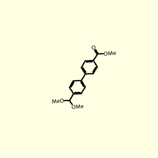 COC(=O)c1ccc(-c2ccc(C(OC)OC)cc2)cc1